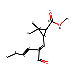 CC/C=C/C(C=O)=C\C1C(C(=O)OC)C1(C)C